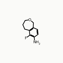 Nc1ccc2c(c1F)CCCOC2